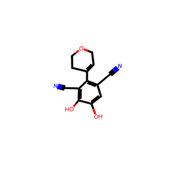 N#Cc1cc(O)c(O)c(C#N)c1C1=CCOCC1